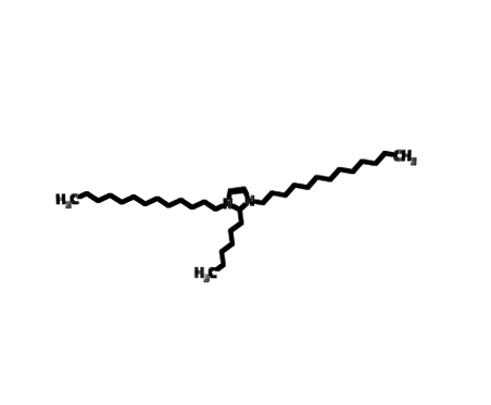 CCCCCCCCCCCCCN1C=CN(CCCCCCCCCCCCC)C1CCCCCC